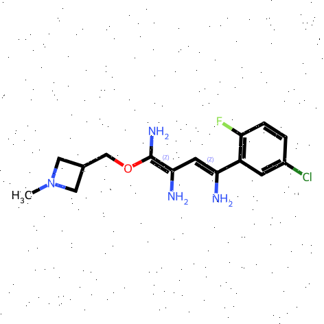 CN1CC(CO/C(N)=C(N)/C=C(\N)c2cc(Cl)ccc2F)C1